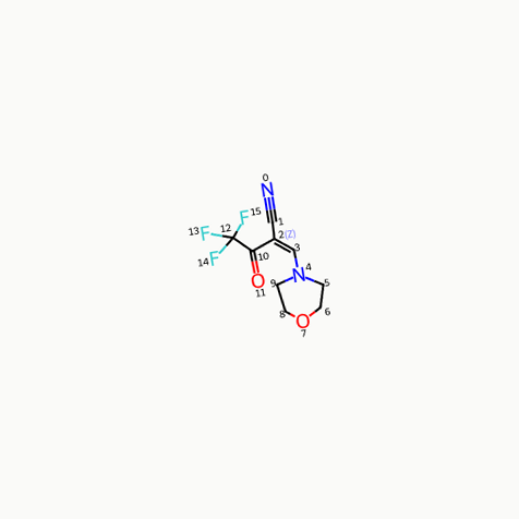 N#C/C(=C/N1CCOCC1)C(=O)C(F)(F)F